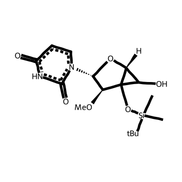 CO[C@H]1[C@H](n2ccc(=O)[nH]c2=O)O[C@@H]2C(O)C21O[Si](C)(C)C(C)(C)C